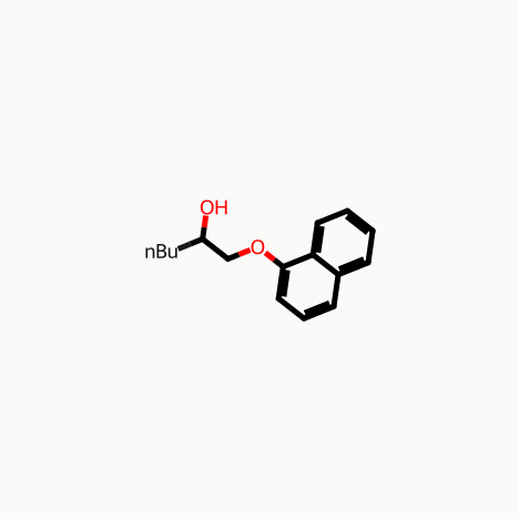 CCCCC(O)COc1cccc2ccccc12